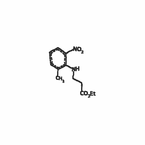 CCOC(=O)CCNc1c(C)cccc1[N+](=O)[O-]